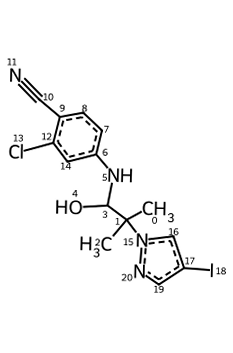 CC(C)(C(O)Nc1ccc(C#N)c(Cl)c1)n1cc(I)cn1